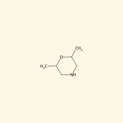 CC1[CH]NCC(C)O1